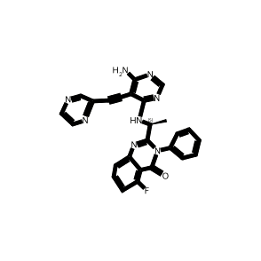 C[C@H](Nc1ncnc(N)c1C#Cc1cnccn1)c1nc2cccc(F)c2c(=O)n1-c1ccccc1